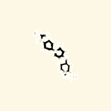 CC(C)C(=O)Nc1ccc(-n2ccc(OC3CCN(C(=O)O)CC3)cc2=O)cc1